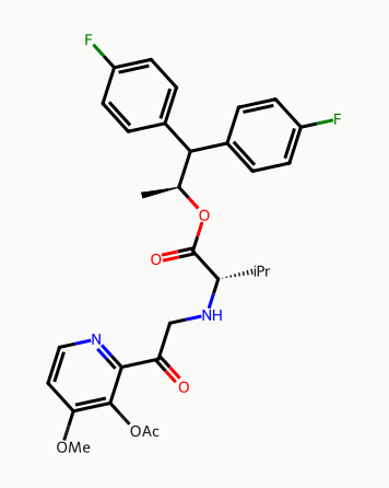 COc1ccnc(C(=O)CN[C@H](C(=O)O[C@@H](C)C(c2ccc(F)cc2)c2ccc(F)cc2)C(C)C)c1OC(C)=O